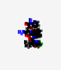 CC(C)(C)[C@H](NC(=O)C(F)(F)F)C(=O)N1C[C@H]2[C@@H]([C@H]1C(=O)N[C@@H](C[C@@H]1Oc3cccnc3NC1=O)C(N)=O)[C@H]1C=C[C@@H]2C1